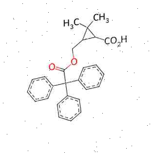 CC1(C)C(COC(=O)C(c2ccccc2)(c2ccccc2)c2ccccc2)C1C(=O)O